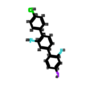 Fc1cc(I)ccc1-c1ccc(-c2ccc(Cl)cc2)c(F)c1